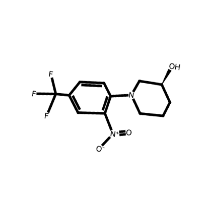 O=[N+]([O-])c1cc(C(F)(F)F)ccc1N1CCC[C@H](O)C1